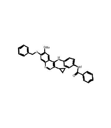 COc1cc2c(Nc3ccc(NC(=O)c4ccccc4)cc3)c(C3CC3)cnc2cc1OCc1ccccc1